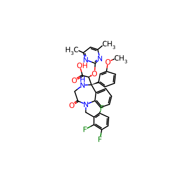 COc1cccc([C@]2([C@H](Oc3nc(C)cc(C)n3)C(=O)O)NCC(=O)N(Cc3c(F)ccc(F)c3F)c3ccccc32)c1